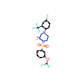 C[C@@H]1CN(c2ccc(F)cc2C(F)(F)F)CCN1S(=O)(=O)c1cccc(OC(F)F)c1